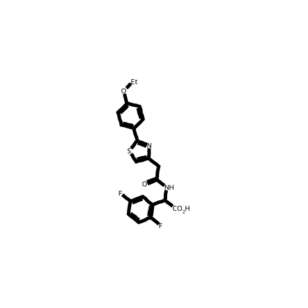 CCOc1ccc(-c2nc(CC(=O)NC(C(=O)O)c3cc(F)ccc3F)cs2)cc1